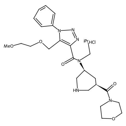 COCCOCc1c(C(=O)N(CC(C)C)[C@@H]2CNC[C@H](C(=O)N3CCOCC3)C2)nnn1-c1ccccc1.Cl